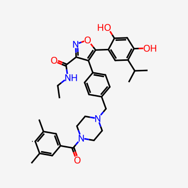 CCNC(=O)c1noc(-c2cc(C(C)C)c(O)cc2O)c1-c1ccc(CN2CCN(C(=O)c3cc(C)[c]c(C)c3)CC2)cc1